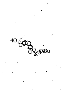 CC(C)COOCC1(COc2cc3c(cc2Cl)-c2cc(=O)c(C(=O)O)cn2CC3)CC1